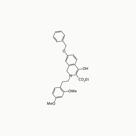 CCOC(=O)C1=C(O)c2ccc(OCc3ccccc3)cc2CN1CCc1ccc(OC)cc1OC